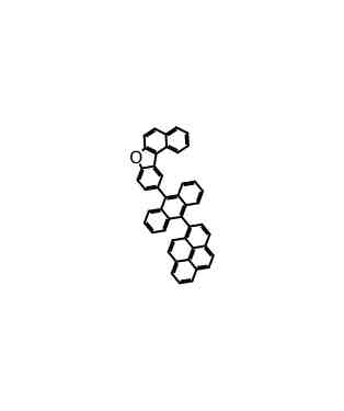 c1ccc2c(c1)ccc1oc3ccc(-c4c5ccccc5c(-c5ccc6ccc7cccc8ccc5c6c78)c5ccccc45)cc3c12